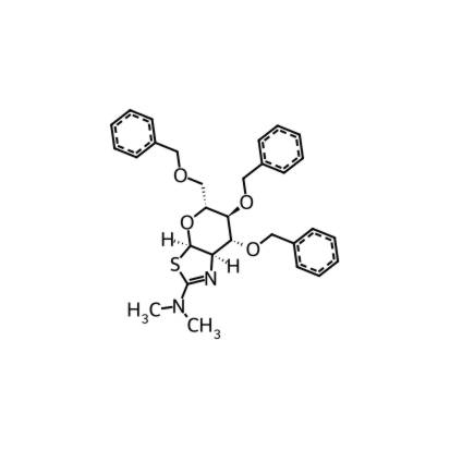 CN(C)C1=N[C@@H]2[C@@H](OCc3ccccc3)[C@H](OCc3ccccc3)[C@@H](COCc3ccccc3)O[C@@H]2S1